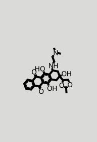 CC1OCC(C2(O)Cc3c(O)c4c(c(O)c3C(NCCN(C)C)C2)C(=O)c2ccccc2C4=O)O1